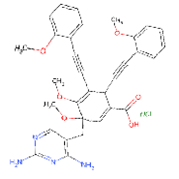 COC1=C(C#Cc2ccccc2OC)C(C#Cc2ccccc2OC)C(C(=O)O)=CC1(Cc1cnc(N)nc1N)OC.Cl